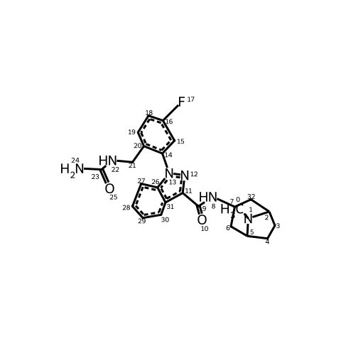 CN1C2CCC1CC(NC(=O)c1nn(-c3cc(F)ccc3CNC(N)=O)c3ccccc13)C2